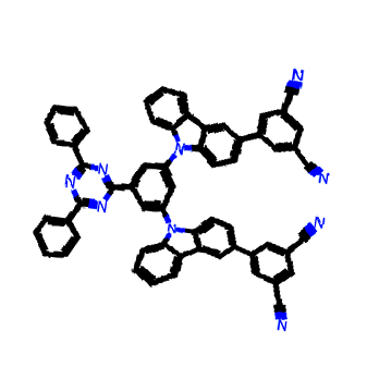 N#Cc1cc(C#N)cc(-c2ccc3c(c2)c2ccccc2n3-c2cc(-c3nc(-c4ccccc4)nc(-c4ccccc4)n3)cc(-n3c4ccccc4c4cc(-c5cc(C#N)cc(C#N)c5)ccc43)c2)c1